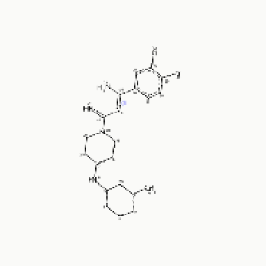 CC1CCCC(NC2CCN(C(=N)/C=C(\N)c3ccc(Cl)c(Cl)c3)CC2)C1